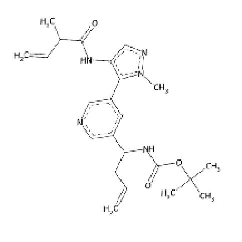 C=CCC(NC(=O)OC(C)(C)C)c1cncc(-c2c(NC(=O)C(C)C=C)cnn2C)c1